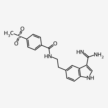 CS(=O)(=O)c1ccc(C(=O)NCCc2ccc3[nH]cc(C(=N)N)c3c2)cc1